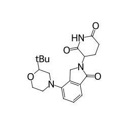 CC(C)(C)C1CN(c2cccc3c2CN(C2CCC(=O)NC2=O)C3=O)CCO1